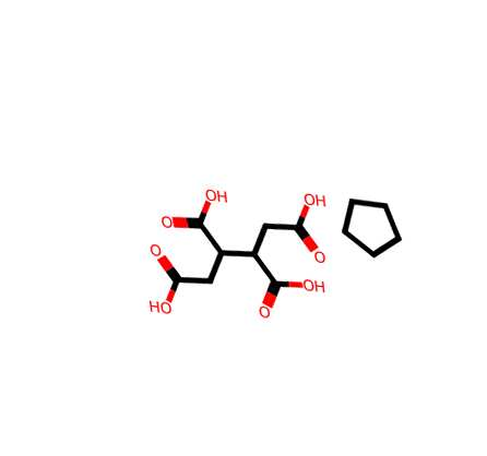 C1CCCC1.O=C(O)CC(C(=O)O)C(CC(=O)O)C(=O)O